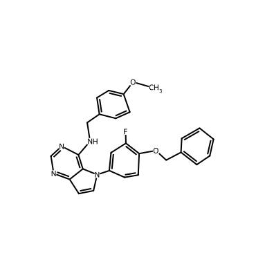 COc1ccc(CNc2ncnc3ccn(-c4ccc(OCc5ccccc5)c(F)c4)c23)cc1